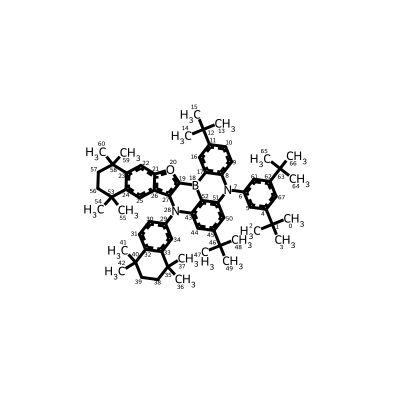 CC(C)(C)c1cc(N2c3ccc(C(C)(C)C)cc3B3c4oc5cc6c(cc5c4N(c4ccc5c(c4)C(C)(C)CCC5(C)C)c4cc(C(C)(C)C)cc2c43)C(C)(C)CCC6(C)C)cc(C(C)(C)C)c1